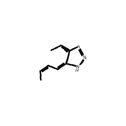 C\C=C/C=c1/[nH]nn/c1=C/C